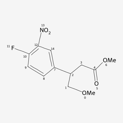 COCC(CC(=O)OC)c1ccc(F)c([N+](=O)[O-])c1